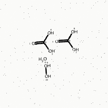 O.O=C(O)O.O=C(O)O.OO